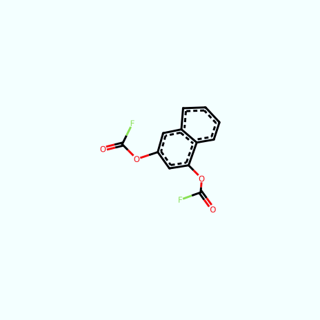 O=C(F)Oc1cc(OC(=O)F)c2ccccc2c1